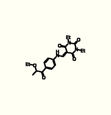 CCOC(C)C(=O)c1ccc(NC=C2C(=O)N(CC)C(=O)N(CC)C2=O)cc1